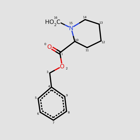 O=C(OCc1ccccc1)C1CCCCN1C(=O)O